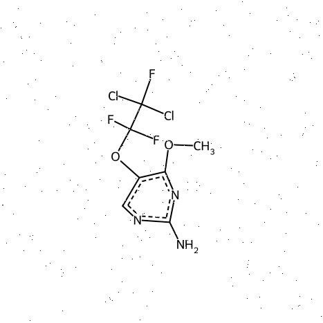 COc1nc(N)ncc1OC(F)(F)C(F)(Cl)Cl